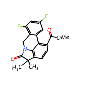 COC(=O)c1ccc2c3c1-c1cc(F)cc(F)c1CN3C(=O)C2(C)C